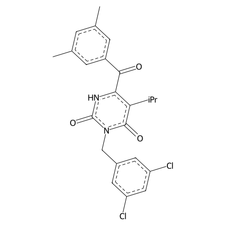 Cc1cc(C)cc(C(=O)c2[nH]c(=O)n(Cc3cc(Cl)cc(Cl)c3)c(=O)c2C(C)C)c1